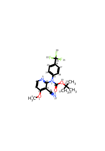 COc1ccnc(N(C(=O)OC(C)(C)C)c2ccc(C(F)(F)F)cc2)c1C#N